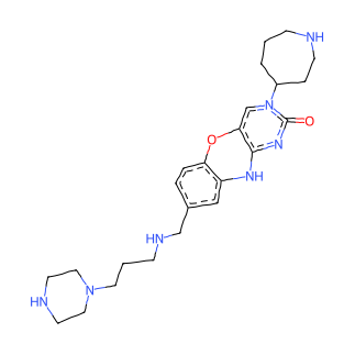 O=c1nc2c(cn1C1CCCNCC1)Oc1ccc(CNCCCN3CCNCC3)cc1N2